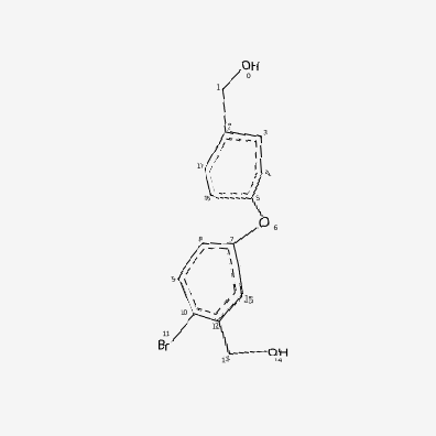 OCc1ccc(Oc2ccc(Br)c(CO)c2)cc1